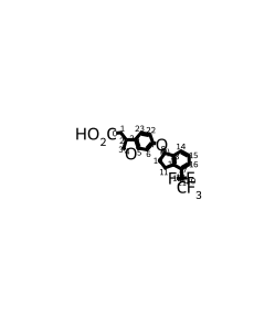 O=C(O)CC1COc2cc(O[C@@H]3CCc4c3cccc4C(F)(F)C(F)(F)F)ccc21